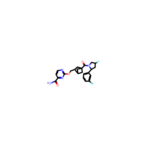 NC(=O)c1ccnc(OCC2CC3(C(=O)N4CC(F)CC4c4cccc(F)c4)CC2C3)n1